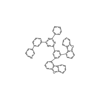 c1ccc(-c2nc(-c3cccc(-c4cccnc4)c3)nc(-c3cc(-c4cccc5oc6ccccc6c45)cc(-c4cccc5oc6ccccc6c45)c3)n2)cc1